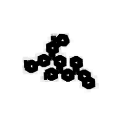 c1ccc(N(c2cccc(N(c3ccncc3)c3cccc(N(c4ccc(-c5cccnc5)cc4)c4ccc5sc6ccccc6c5c4)c3)c2)c2ccc3ccccc3c2)cc1